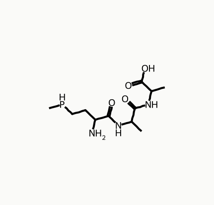 CPCCC(N)C(=O)NC(C)C(=O)NC(C)C(=O)O